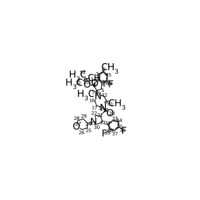 Cc1ccc(C[C@@](C)(C(=O)OC(C)(C)C)N2CCN(C(=O)[C@@H]3CN(C4CCOCC4)C[C@H]3c3ccc(F)cc3F)[C@@H](C)C2)c(F)c1